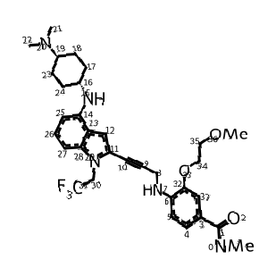 CNC(=O)c1ccc(NCC#Cc2cc3c(N[C@H]4CC[C@H](N(C)C)CC4)cccc3n2CC(F)(F)F)c(OCCOC)c1